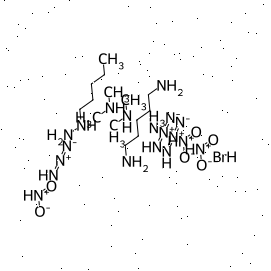 Br.CCCCCNN.CNC.CNC.N.NCCCCCN.O=[NH+][O-].O=[NH+][O-].O=[NH+][O-].[N-]=[N+]=N.[N-]=[N+]=N.[N-]=[N+]=N